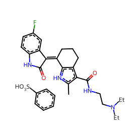 CCN(CC)CCNC(=O)c1c(C)[nH]c2c1CCCC2=C1C(=O)Nc2ccc(F)cc21.O=S(=O)(O)c1ccccc1